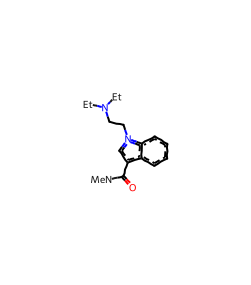 CCN(CC)CCn1cc(C(=O)NC)c2ccccc21